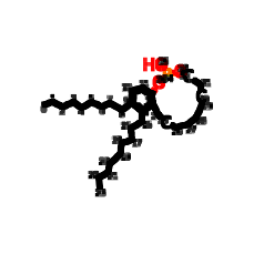 CCCCCCCCCc1ccc2c(c1CCCCCCCCC)CCCCCCCCCOP(O)O2